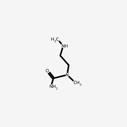 CNCCN(C)C(N)=O